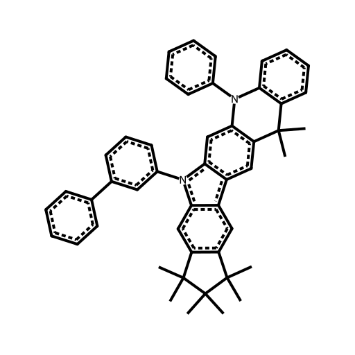 CC1(C)c2ccccc2N(c2ccccc2)c2cc3c(cc21)c1cc2c(cc1n3-c1cccc(-c3ccccc3)c1)C(C)(C)C(C)(C)C2(C)C